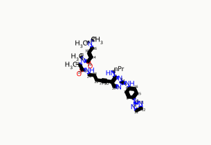 CCCNc1nc(Nc2ccc(-n3nccn3)cc2)ncc1C#CCCCNC(=O)[C@H](C)N(C)C(=O)/C=C/CN(C)C